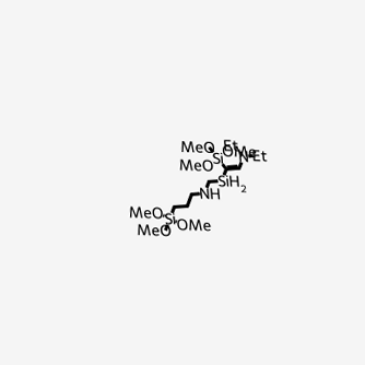 CCN(C=C([SiH2]CNCCC[Si](OC)(OC)OC)[Si](OC)(OC)OC)CC